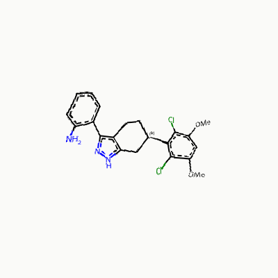 COc1cc(OC)c(Cl)c([C@@H]2CCc3c(-c4ccccc4N)n[nH]c3C2)c1Cl